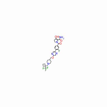 NC(=O)[C@@H]1[C@@H](O)CCN1C(=O)c1ccc(-c2cnc(OCC3CCN(CC4(C(F)(F)F)CCC4)CC3)cn2)c(F)c1